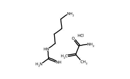 C=C(C)C(N)=O.Cl.N=C(N)NCCCCN